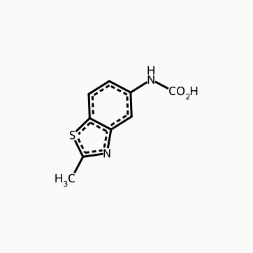 Cc1nc2cc(NC(=O)O)ccc2s1